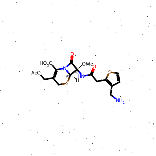 CO[C@@]1(NC(=O)Cc2sccc2CN)C(=O)N2C(C(=O)O)=C(COC(C)=O)CS[C@@H]21